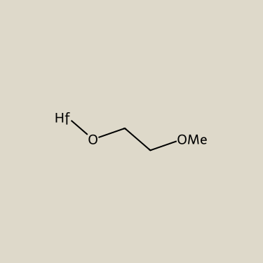 COCC[O][Hf]